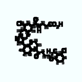 Cc1c(Cl)cccc1OCCCC(=O)N1CCSc2c(-c3cnn(Cc4c(F)cc(C(=O)NCCC(=O)O)cc4Cl)c3)cccc21